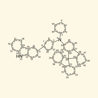 c1ccc(N(c2ccc(-c3ccc4[nH]c5ccccc5c4c3)cc2)c2ccc3c(c2)C2(c4ccccc4-c4ccccc42)c2ccccc2-3)cc1